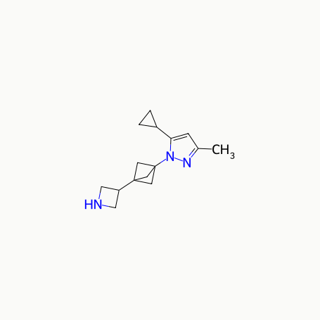 Cc1cc(C2CC2)n(C23CC(C4CNC4)(C2)C3)n1